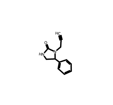 C#CCN1C(=O)NCC1c1ccccc1